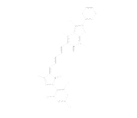 CC1=NN(c2c(Cl)cc(Cl)cc2Cl)C(=O)/C1=C\C=CC=Cc1c(C)c2c(O)n(-c3ccccc3)nc2n(C)c1=O